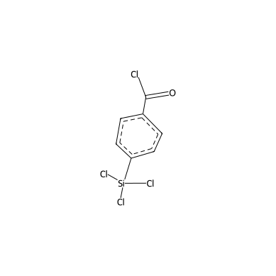 O=C(Cl)c1ccc([Si](Cl)(Cl)Cl)cc1